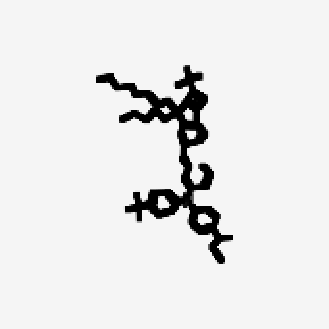 C\C=C/C(=C\C=C\c1ccc2c(c1)C(CCCCC)(CCCCCCCC)C1=C2C=C1C(C)(C)C)N(c1ccc(C(C)CC)cc1)c1ccc(C(C)(C)C)cc1